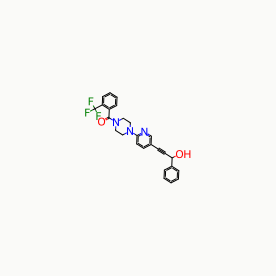 O=C(c1ccccc1C(F)(F)F)N1CCN(c2ccc(C#CC(O)c3ccccc3)cn2)CC1